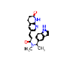 CC(c1ccc2[nH]ccc2c1)N(C)C(=O)/C=C/c1cnc2c(c1)CCC(=O)N2